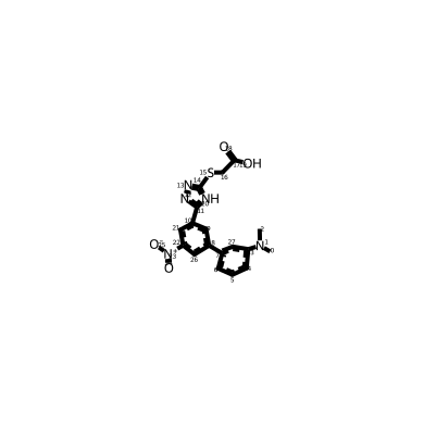 CN(C)c1cccc(-c2cc(-c3nnc(SCC(=O)O)[nH]3)cc([N+](=O)[O-])c2)c1